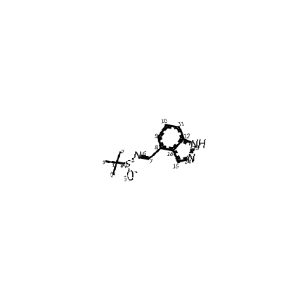 CC(C)(C)[S@@+]([O-])N=Cc1cccc2[nH]ncc12